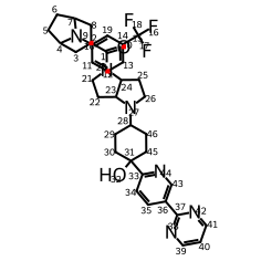 O=C(C1CC2CCC(C1)N2c1cccc(C(F)(F)F)c1)N1CCC2C1CCN2C1CCC(O)(c2ccc(-c3ncccn3)cn2)CC1